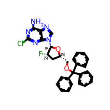 Nc1nc(Cl)nc2c1ncn2[C@@H]1O[C@H](COC(c2ccccc2)(c2ccccc2)c2ccccc2)C[C@@H]1F